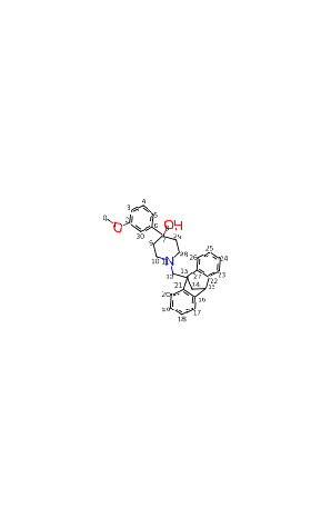 COc1cccc(C2(O)CCN(CC34CC(c5ccccc53)c3ccccc34)CC2)c1